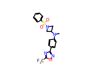 CN(c1ccc(-c2noc(C(F)(F)F)n2)cc1)C1CN(S(=O)(=O)c2ccccc2)C1